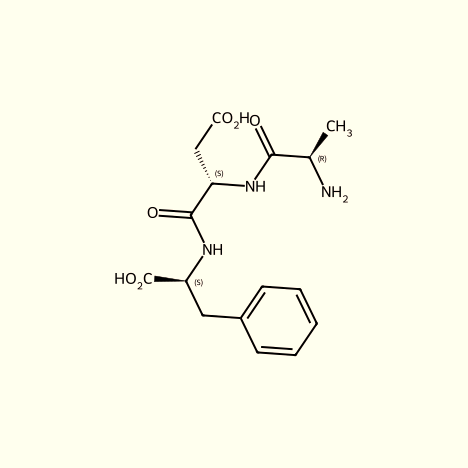 C[C@@H](N)C(=O)N[C@@H](CC(=O)O)C(=O)N[C@@H](Cc1ccccc1)C(=O)O